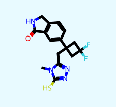 Cn1c(S)nnc1CC1(c2ccc3c(c2)C(=O)NC3)CC(F)(F)C1